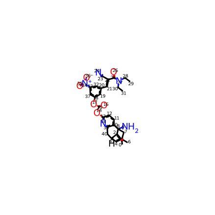 C/C=C1\[C@@H]2C=C(C)CC1(N)c1ccc(OC(=O)Oc3cc(/C=C(\C#N)C(=O)N(CC)CC)cc([N+](=O)[O-])c3)nc1C2